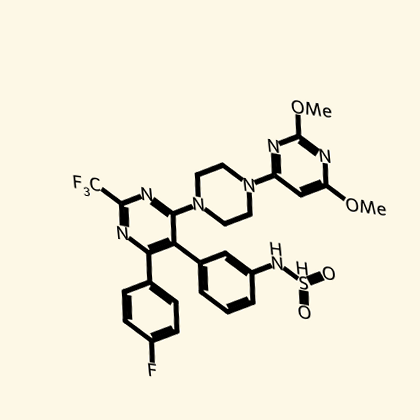 COc1cc(N2CCN(c3nc(C(F)(F)F)nc(-c4ccc(F)cc4)c3-c3cccc(N[SH](=O)=O)c3)CC2)nc(OC)n1